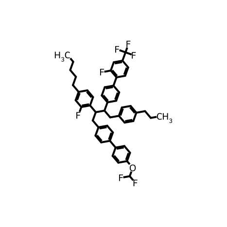 CCCCCc1ccc(C(Cc2ccc(-c3ccc(OC(F)F)cc3)cc2)C(Cc2ccc(CCC)cc2)c2ccc(-c3ccc(C(F)(F)F)cc3F)cc2)c(F)c1